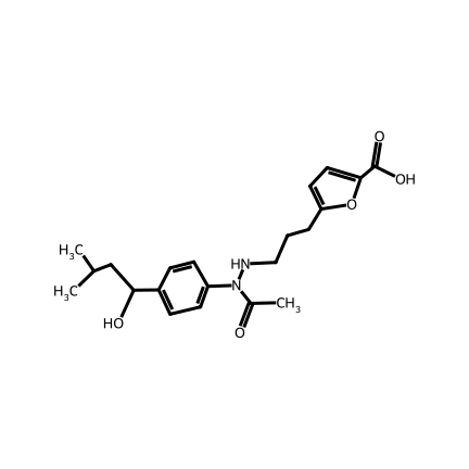 CC(=O)N(NCCCc1ccc(C(=O)O)o1)c1ccc(C(O)CC(C)C)cc1